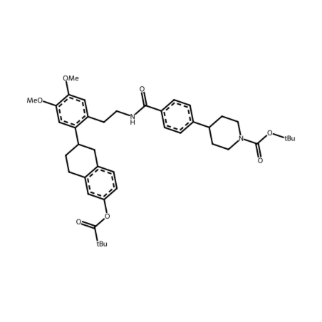 COc1cc(CCNC(=O)c2ccc(C3CCN(C(=O)OC(C)(C)C)CC3)cc2)c(C2CCc3cc(OC(=O)C(C)(C)C)ccc3C2)cc1OC